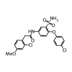 COc1ccc(CC(=O)Nc2ccc(Oc3ccc(Cl)cc3)c(S(N)(=O)=O)c2)c(Cl)c1